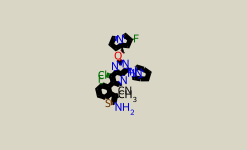 Cc1c(N)sc2ccc(F)c(-c3c(C#N)nc4c(N5CC6CCC(C5)N6)nc(OC[C@@]56CCCN5C[C@H](F)C6)nc4c3Cl)c12